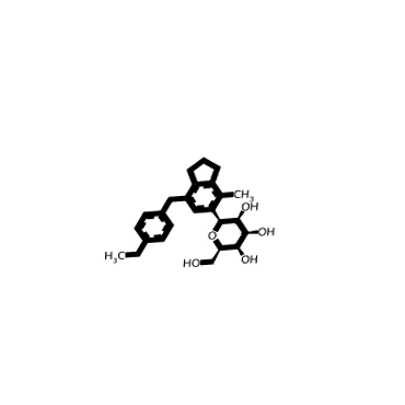 CCc1ccc(Cc2cc([C@@H]3O[C@H](CO)[C@H](O)[C@H](O)[C@@H]3O)c(C)c3c2CCC3)cc1